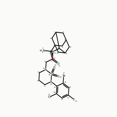 NC(=O)C12CC3CC(C1)C(NC(=O)CN1CCCN(c4c(Cl)cc(F)cc4Br)S1(=O)=O)C(C3)C2